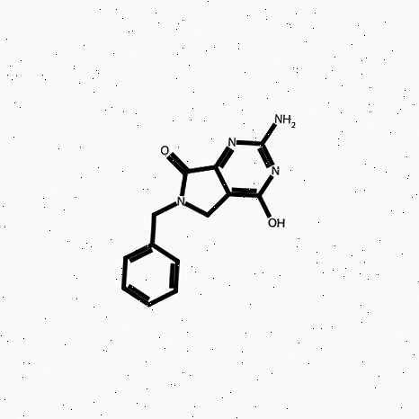 Nc1nc(O)c2c(n1)C(=O)N(Cc1ccccc1)C2